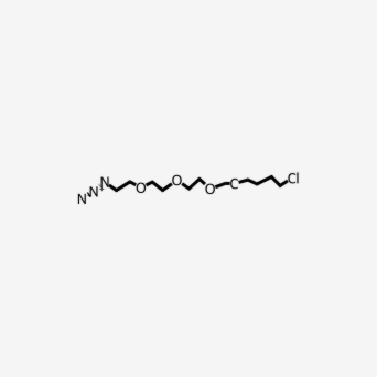 [N-]=[N+]=NCCOCCOCCOCCCCCCCl